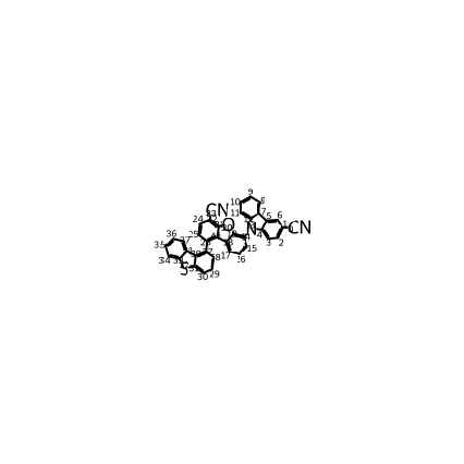 N#Cc1ccc2c(c1)c1ccccc1n2-c1cccc2c1oc1c(C#N)ccc(-c3cccc4sc5ccccc5c34)c12